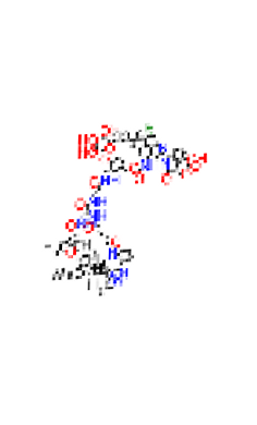 CCC1(O)C(=O)OCc2c1cc1n(c2=O)Cc2c-1nc1cc(F)c(C)c3c1c2C(NC(=O)OCc1ccc(OC2OC(C(=O)O)C(O)C(O)C2O)c(CNC(=O)CCNC(=O)C(CNC(=O)CCC(C)(C)OCCC(C)(C)OC)NC(=O)CCCCC(=O)N2Cc4ccccc4-c4c(nnn4C)-c4ccccc42)c1)CC3